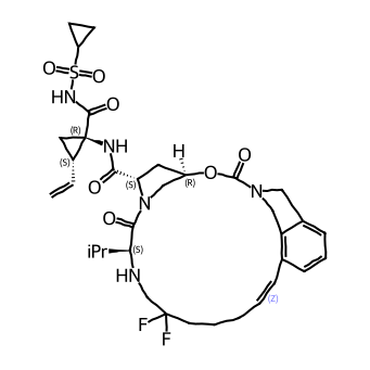 C=C[C@@H]1C[C@]1(NC(=O)[C@@H]1C[C@@H]2CN1C(=O)[C@H](C(C)C)NCC(F)(F)CCC/C=C\c1cccc3c1CN(C3)C(=O)O2)C(=O)NS(=O)(=O)C1CC1